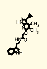 Cc1c(OCC(=O)NCCc2c[nH]c3ccccc23)nc2[nH]nc(C3CC3)c2c1C